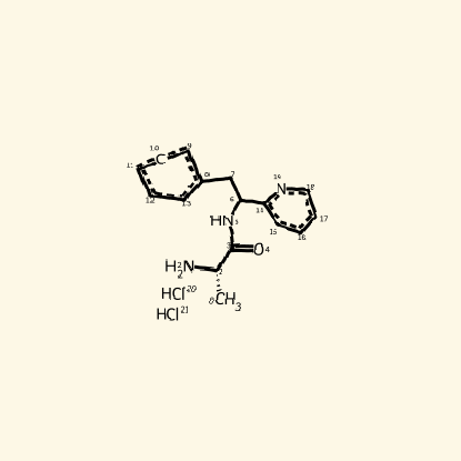 C[C@H](N)C(=O)NC(Cc1ccccc1)c1ccccn1.Cl.Cl